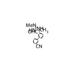 CNC(=N)NC(C)(C=O)c1cccc(-c2cccc(C#N)c2)c1